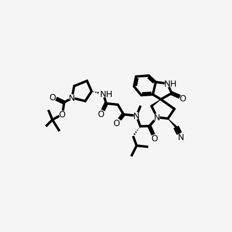 CC(C)C[C@@H](C(=O)N1C[C@]2(C[C@H]1C#N)C(=O)Nc1ccccc12)N(C)C(=O)CC(=O)N[C@H]1CCN(C(=O)OC(C)(C)C)C1